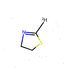 [2H]C1=NCCS1